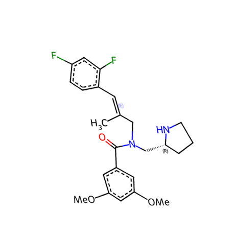 COc1cc(OC)cc(C(=O)N(C/C(C)=C/c2ccc(F)cc2F)C[C@H]2CCCN2)c1